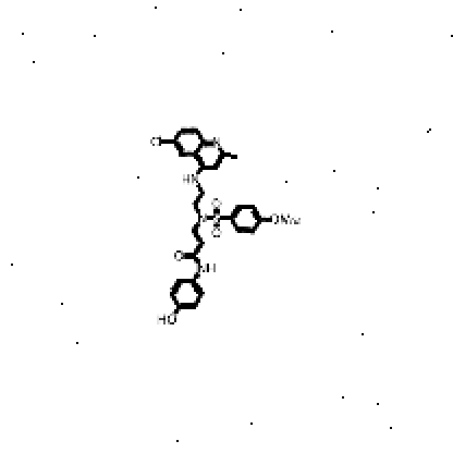 COc1ccc(S(=O)(=O)N(CCNc2cc(C)nc3ccc(Cl)cc23)CCC(=O)Nc2ccc(O)cc2)cc1